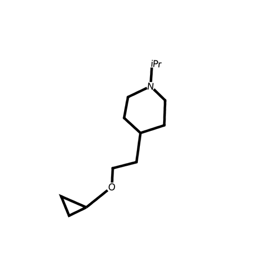 CC(C)N1CCC(CCOC2CC2)CC1